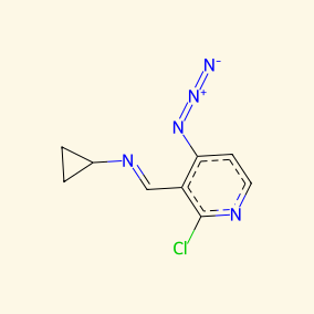 [N-]=[N+]=Nc1ccnc(Cl)c1/C=N/C1CC1